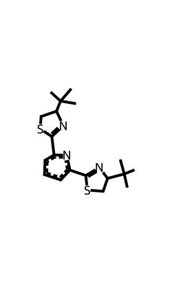 CC(C)(C)C1CSC(c2cccc(C3=NC(C(C)(C)C)CS3)n2)=N1